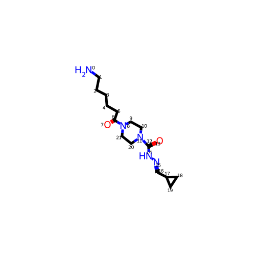 NCCCCCC(=O)N1CCN(C(=O)N/N=C/C2CC2)CC1